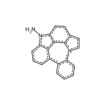 Nn1c2cccc3c4ccccc4n4ccc5ccc1c(c32)c54